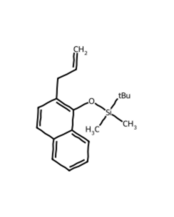 C=CCc1ccc2ccccc2c1O[Si](C)(C)C(C)(C)C